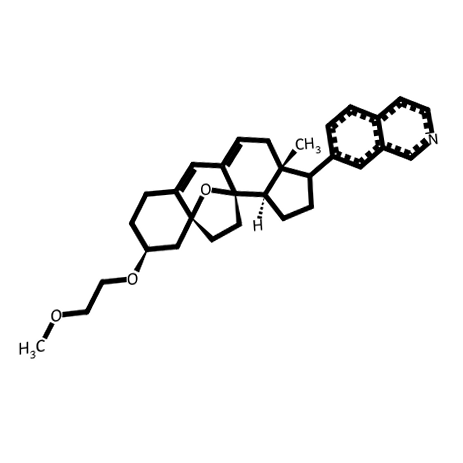 COCCO[C@H]1CCC2=CC3=CC[C@]4(C)C(c5ccc6ccncc6c5)CC[C@H]4[C@@]34CC[C@]2(C1)O4